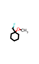 COC1([CH]F)CCCCC1